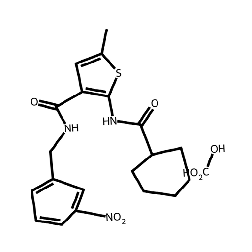 Cc1cc(C(=O)NCc2cccc([N+](=O)[O-])c2)c(NC(=O)C2CCCCC2)s1.O=C(O)O